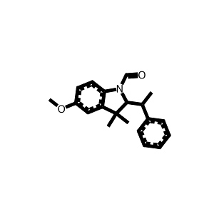 COc1ccc2c(c1)C(C)(C)C(C(C)c1ccccc1)N2C=O